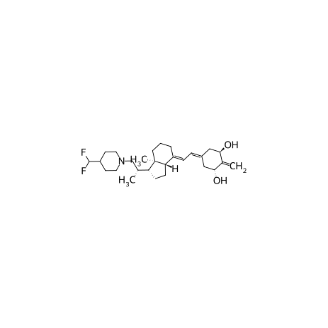 C=C1[C@H](O)CC(=C/C=C2\CCC[C@]3(C)[C@@H]([C@H](C)CN4CCC(C(F)F)CC4)CC[C@@H]23)C[C@H]1O